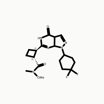 CON(C)C(=O)[C@@H]1CC[C@H]1C1=NC2C(C=NN2C2CCC(F)(F)CC2)C(=O)N1